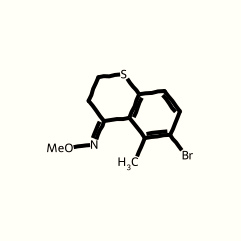 CON=C1CCSc2ccc(Br)c(C)c21